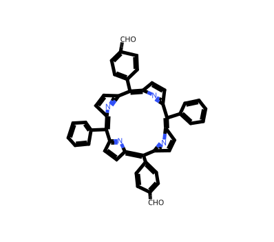 O=Cc1ccc(C2=C3C=CC(=N3)C(c3ccccc3)=C3C=CC(=N3)C(c3ccc(C=O)cc3)=C3C=CC(=N3)C(c3ccccc3)=C3C=CC2=N3)cc1